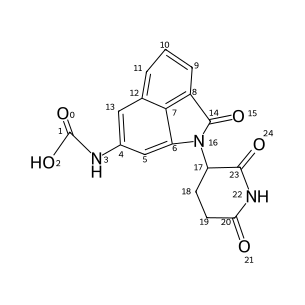 O=C(O)Nc1cc2c3c(cccc3c1)C(=O)N2C1CCC(=O)NC1=O